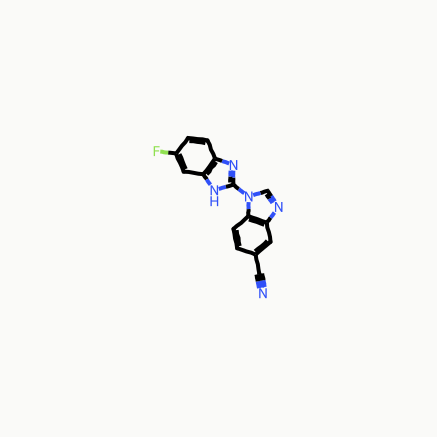 N#Cc1ccc2c(c1)ncn2-c1nc2ccc(F)cc2[nH]1